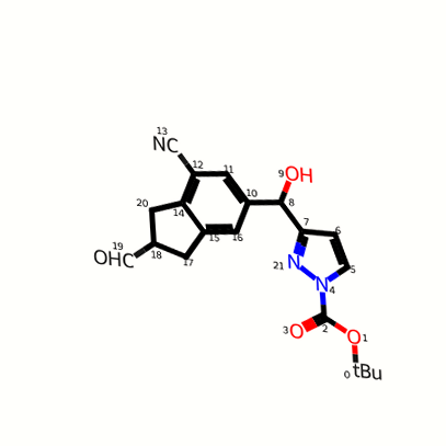 CC(C)(C)OC(=O)n1ccc(C(O)c2cc(C#N)c3c(c2)CC(C=O)C3)n1